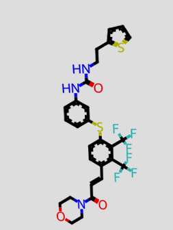 O=C(NCCc1cccs1)Nc1cccc(Sc2ccc(C=CC(=O)N3CCOCC3)c(C(F)(F)F)c2C(F)(F)F)c1